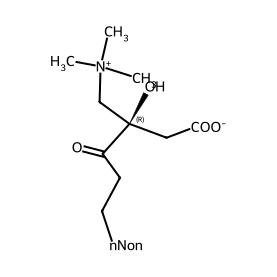 CCCCCCCCCCCC(=O)[C@@](O)(CC(=O)[O-])C[N+](C)(C)C